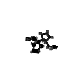 CC[O][Zr]([O]CC)([O]CC)[C]1=C(CC(C)C)C=CC1